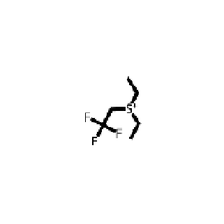 CC[S+](CC)CC(F)(F)F